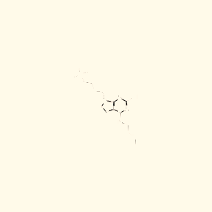 COCCNc1nc(Cl)nc2c1ccn2COCC[Si](C)(C)C